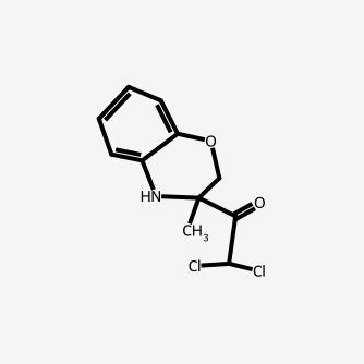 CC1(C(=O)C(Cl)Cl)COc2ccccc2N1